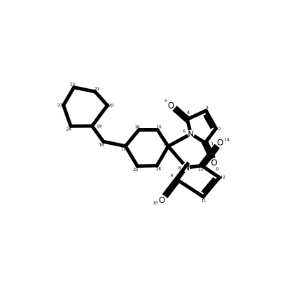 O=C1C=CC(=O)N1C1(N2C(=O)C=CC2=O)CCC(CC2CCCCC2)CC1